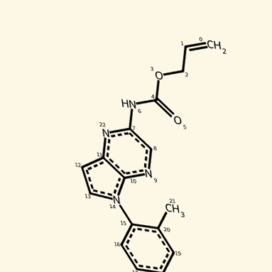 C=CCOC(=O)Nc1cnc2c(ccn2-c2ccccc2C)n1